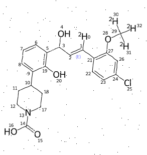 [2H]/C(=C\C(O)c1cccc(C2CCN(C(=O)O)CC2)c1O)c1ccc(Cl)cc1OC([2H])([2H])[2H]